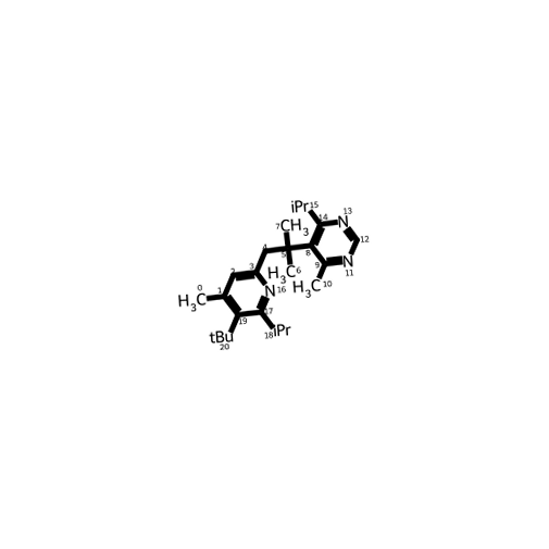 Cc1cc(CC(C)(C)c2c(C)ncnc2C(C)C)nc(C(C)C)c1C(C)(C)C